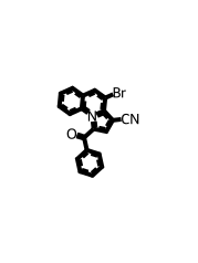 N#Cc1cc(C(=O)c2ccccc2)n2c1c(Br)cc1ccccc12